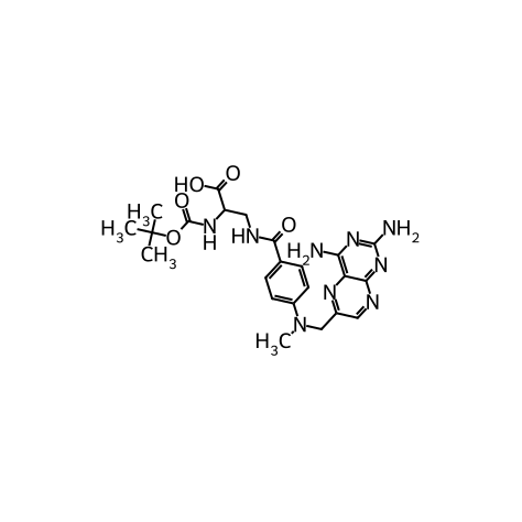 CN(Cc1cnc2nc(N)nc(N)c2n1)c1ccc(C(=O)NCC(NC(=O)OC(C)(C)C)C(=O)O)cc1